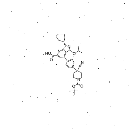 CC(C)Oc1nn(C2CCCCC2)c2nc(C(=O)O)cc(-c3ccc(C4(C#N)CCN(C(=O)OC(C)(C)C)CC4)cc3)c12